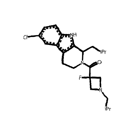 CC(C)CC1c2[nH]c3ccc(Cl)cc3c2CCN1C(=O)C1(F)CN(CC(C)C)C1